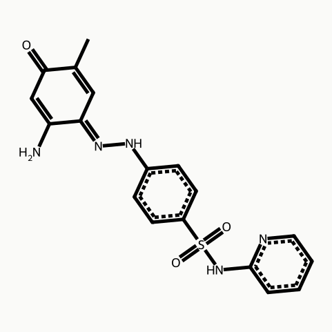 CC1=CC(=NNc2ccc(S(=O)(=O)Nc3ccccn3)cc2)C(N)=CC1=O